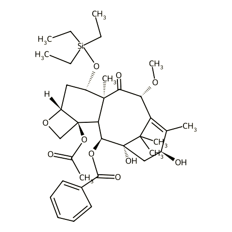 CC[Si](CC)(CC)O[C@H]1C[C@H]2OC[C@@]2(OC(C)=O)C2[C@H](OC(=O)c3ccccc3)[C@]3(O)C[C@H](O)C(C)=C([C@@H](OC)C(=O)[C@@]21C)C3(C)C